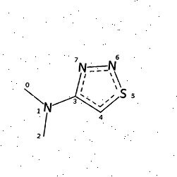 CN(C)c1csnn1